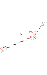 C=P(C)(O)OCCCCCCSSCCCCCCOP(=O)(S)OCC(CO)CCCCNC(=O)[O-].[Li+]